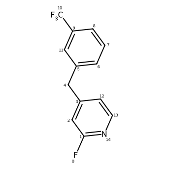 Fc1cc(Cc2cccc(C(F)(F)F)c2)ccn1